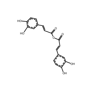 O=C(/C=C/c1ccc(O)c(O)c1)OC(=O)/C=C/c1ccc(O)c(O)c1